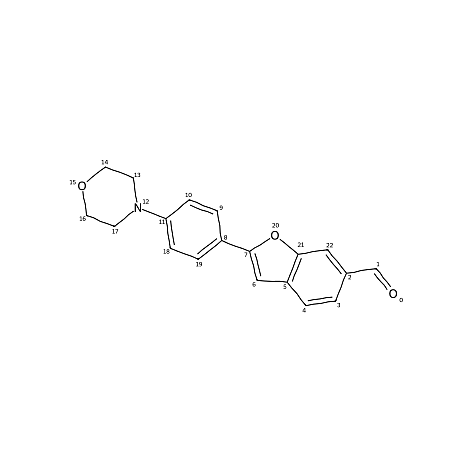 O=Cc1ccc2cc(-c3ccc(N4CCOCC4)cc3)oc2c1